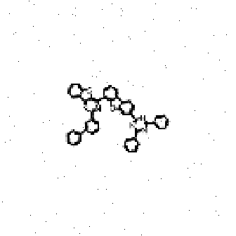 c1ccc(-c2cccc(-c3nc(-c4cccc5c4oc4cc(-c6nc(-c7ccccc7)nc(-c7ccccc7)n6)ccc45)c4sc5ccccc5c4n3)c2)cc1